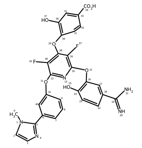 Cn1ccnc1-c1cccc(Oc2nc(Oc3cc(C(=N)N)ccc3O)c(F)c(Oc3ccc(C(=O)O)cc3O)c2F)c1